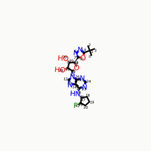 CC(C)(C)c1nnc([C@H]2O[C@@H](n3cnc4c(N[C@@H]5CCC[C@H]5F)ncnc43)[C@H](O)[C@@H]2O)o1